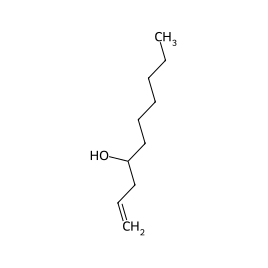 C=CCC(O)CCCCCC